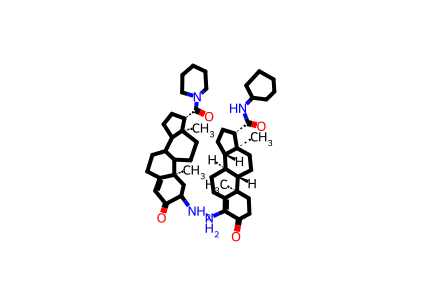 C[C@]12CC(N)C(=O)C=C1CCC1C2CC[C@@]2(C)C1CC[C@@H]2C(=O)N1CCCCC1.C[C@]12CC[C@H]3[C@@H](CCC4=C(N)C(=O)CC[C@@]43C)[C@@H]1CC[C@@H]2C(=O)NC1CCCCC1